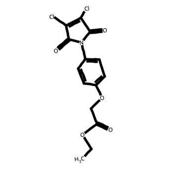 CCOC(=O)COc1ccc(N2C(=O)C(Cl)=C(Cl)C2=O)cc1